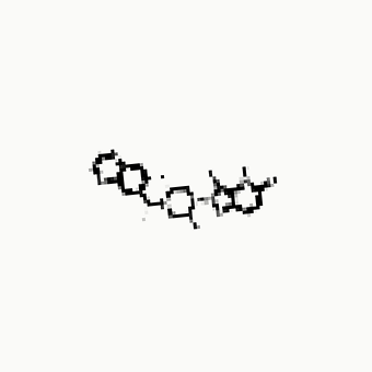 C[C@@H]1CN(n2nc3ccc(=O)n(C)c3c2F)[C@@H](C)CN1[C@H](C)c1ccc2nccnc2c1